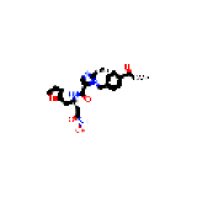 CCCCc1ncc(C(=O)N[C@@H](CC(=O)NO)Cc2ccco2)n1Cc1ccc(C(=O)OC)cc1